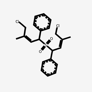 CC(=CC(c1ccccc1)S(=O)(=O)C(C=C(C)CCl)c1ccccc1)CCl